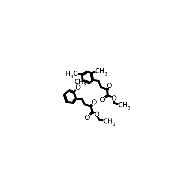 CCOC(=O)C(=O)CCc1ccc(C)cc1C.CCOC(=O)C(=O)CCc1ccccc1OC